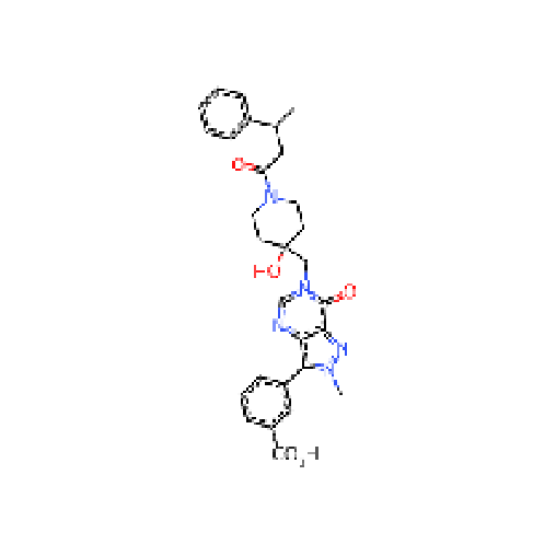 CC(CC(=O)N1CCC(O)(Cn2cnc3c(-c4cccc(C(=O)O)c4)n(C)nc3c2=O)CC1)c1ccccc1